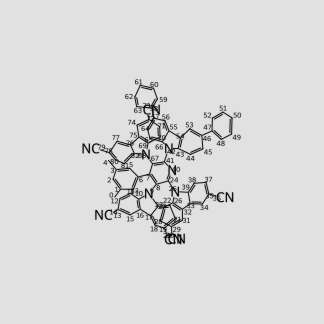 Cc1cc(C)cc(-c2c(-n3c4ccc(C#N)cc4c4cc(C#N)ccc43)c(-n3c4ccc(C#N)cc4c4cc(C#N)ccc43)nc(-n3c4ccc(-c5ccccc5)cc4c4cc(-c5ccccc5)ccc43)c2-n2c3ccc(C#N)cc3c3cc(C#N)ccc32)c1